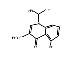 CCCC(CCC)n1cc(C(=O)OCC)c(=O)c2c(Br)cccc21